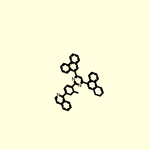 CC1CC(c2nccc3ccccc23)=CC=C1c1nc(-c2cc3c(c4ccccc24)C=CCC3)cc(-c2cc3ccccc3c3ccccc23)n1